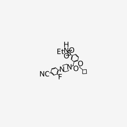 CCNS(=O)(=O)c1ccc(OCC2CCC2)c(C(=O)N2CCN(c3ccc(C#N)cc3F)CC2)c1